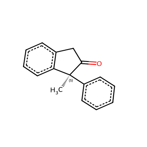 C[C@@]1(c2ccccc2)C(=O)Cc2ccccc21